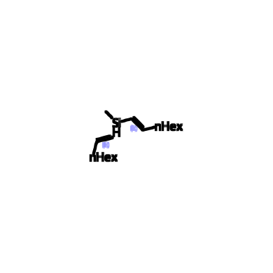 CCCCCC/C=C/[SiH](C)/C=C/CCCCCC